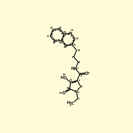 CCN1CC(C(=O)NCCCc2cnc3ccccc3c2)=C(O)C1=O